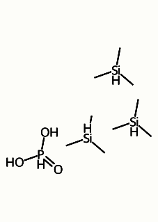 C[SiH](C)C.C[SiH](C)C.C[SiH](C)C.O=[PH](O)O